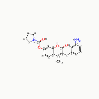 Cc1c(Cc2cccc(N)c2)c(=O)oc2cc(OC(=O)N3CCCC3)ccc12